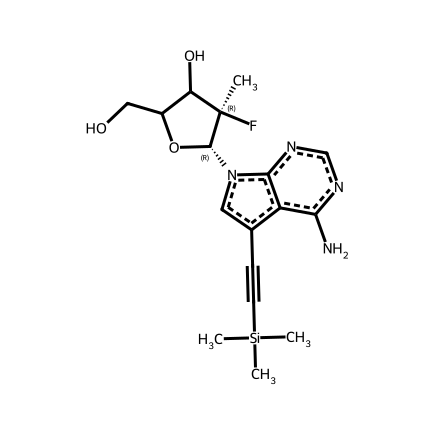 C[C@@]1(F)C(O)C(CO)O[C@H]1n1cc(C#C[Si](C)(C)C)c2c(N)ncnc21